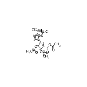 CC(=O)OC[C@H]1O[C@@H](n2cnc3c(Cl)nc(Cl)nc32)[C@@H](OC(C)=O)[C@H]1OC(C)=O